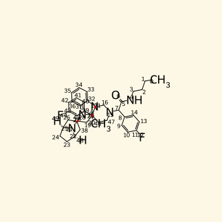 CCCCNC(=O)C(c1ccc(F)cc1)N1CCC(CCN2[C@@H]3CC[C@H]2C[C@@H](n2c(C)nc4ccccc42)C3)(c2cccc(F)c2)CC1